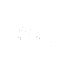 N#Cc1nccc2oc(-c3nc(CC4CCN(C(=O)O)CC4)no3)cc12